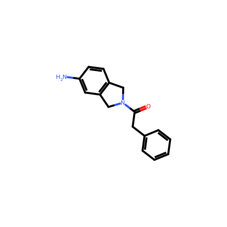 Nc1ccc2c(c1)CN(C(=O)Cc1ccccc1)C2